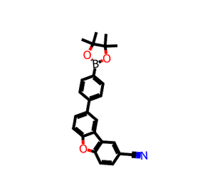 CC1(C)OB(c2ccc(-c3ccc4oc5ccc(C#N)cc5c4c3)cc2)OC1(C)C